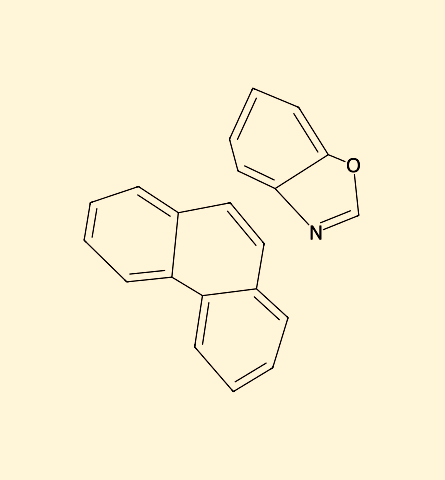 c1ccc2c(c1)ccc1ccccc12.c1ccc2ocnc2c1